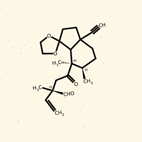 C#CC12CC[C@@H](C)[C@@](C)(C(=O)C[C@@](C)(C=C)C=O)C1C1(CC2)OCCO1